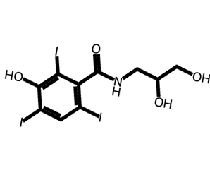 O=C(NCC(O)CO)c1c(I)cc(I)c(O)c1I